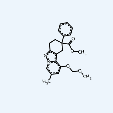 COCOc1cc(C)cn2nc3c(c12)CC(C(=O)OC)(c1ccccc1)CC3